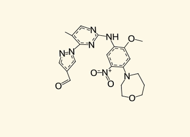 COc1cc(N2CCCOCC2)c([N+](=O)[O-])cc1Nc1ncc(C)c(-n2cc(C=O)cn2)n1